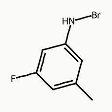 Cc1cc(F)cc(NBr)c1